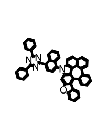 c1ccc(-c2nc(-c3ccccc3)nc(-c3ccc(-n4c5cc6oc7ccccc7c6c6c5c5c7c(cccc7ccc54)-c4ccccc4-6)c4ccccc34)n2)cc1